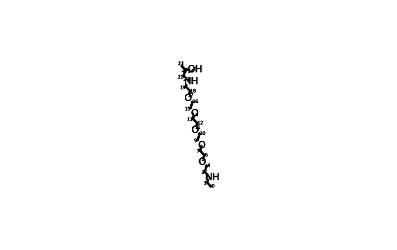 CCNCCOCCOCCOCCOCCOCCNCC(C)O